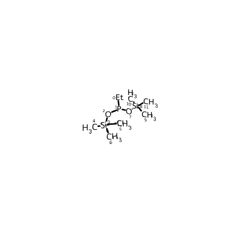 CCP(O[Si](C)(C)C)O[Si](C)(C)C